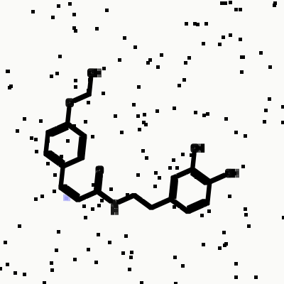 O=C(/C=C\c1ccc(OCO)cc1)NCCc1ccc(O)c(O)c1